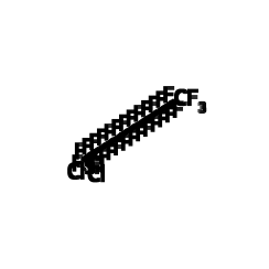 FC(F)(F)C(F)(F)C(F)(F)C(F)(F)C(F)(F)C(F)(F)C(F)(F)C(F)(F)C(F)(F)C(F)(F)C(F)(F)C(F)(F)C(F)(F)C(F)(F)[Si](Cl)(Cl)Cl